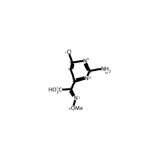 CON=C(C(=O)O)c1cc(Cl)nc(N)n1